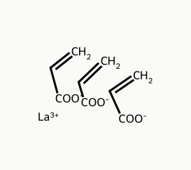 C=CC(=O)[O-].C=CC(=O)[O-].C=CC(=O)[O-].[La+3]